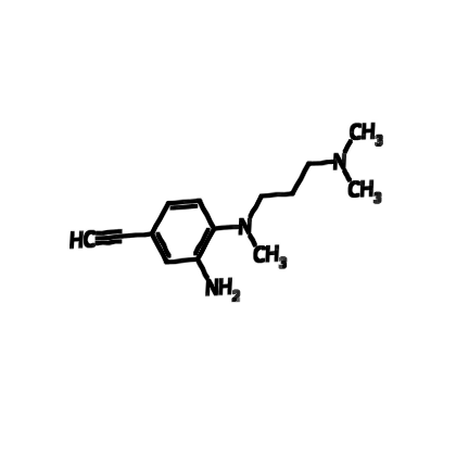 C#Cc1ccc(N(C)CCCN(C)C)c(N)c1